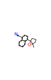 CC12CCCC1(c1ccc(C#N)c3ccccc13)O2